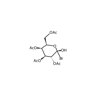 CC(=O)OC[C@H]1O[C@](O)(Br)[C@H](OC(C)=O)[C@@H](OC(C)=O)[C@H]1OC(C)=O